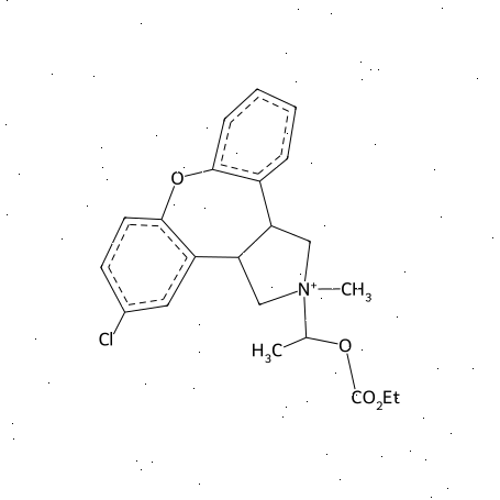 CCOC(=O)OC(C)[N+]1(C)CC2c3ccccc3Oc3ccc(Cl)cc3C2C1